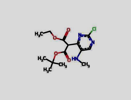 CCOC(=O)C(C(=O)OC(C)(C)C)c1nc(Cl)ncc1NC